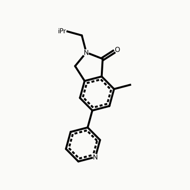 Cc1cc(-c2cccnc2)cc2c1C(=O)N(CC(C)C)C2